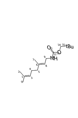 CC(C)=CCC/C(C)=C/CNC(=O)OCC(C)(C)C